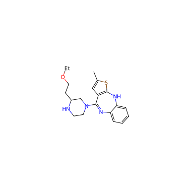 CCOCCC1CN(C2=Nc3ccccc3Nc3sc(C)cc32)CCN1